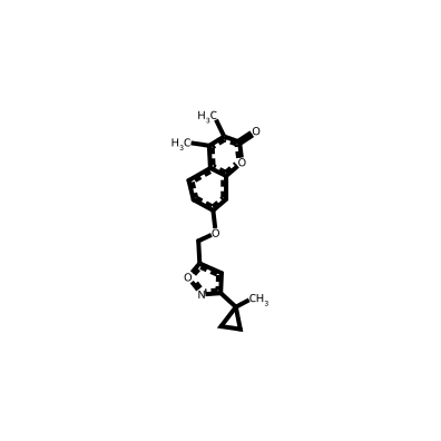 Cc1c(C)c2ccc(OCc3cc(C4(C)CC4)no3)cc2oc1=O